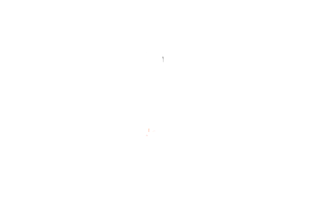 CCCCCCCC/C=C\CCCCCCCCOS(=O)(=O)OCC(O)CO